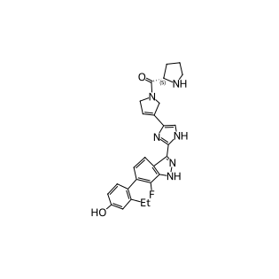 CCc1cc(O)ccc1-c1ccc2c(-c3nc(C4=CCN(C(=O)[C@@H]5CCCN5)C4)c[nH]3)n[nH]c2c1F